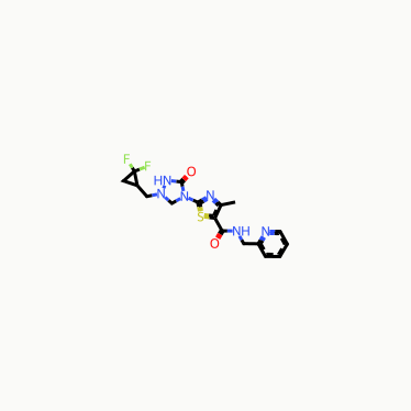 Cc1nc(N2CN(CC3CC3(F)F)NC2=O)sc1C(=O)NCc1ccccn1